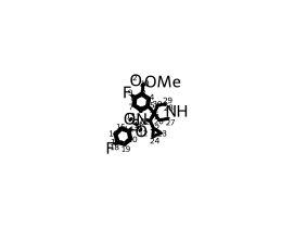 COC(=O)c1cc2c(cc1F)N(S(=O)(=O)c1ccc(F)cc1)C(C1CC1)C21CCNCC1